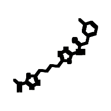 CNc1nnc(CCCCc2nnc(NC(=O)Cc3cccc(C)c3)s2)s1